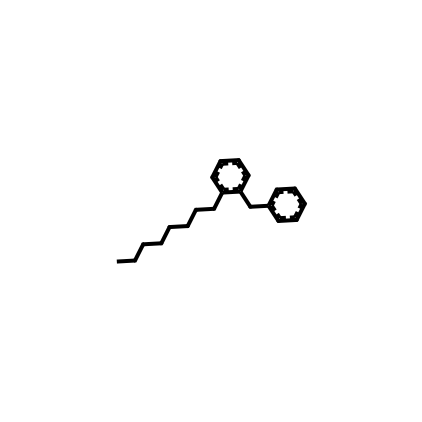 CCCCCCCCc1ccccc1Cc1ccccc1